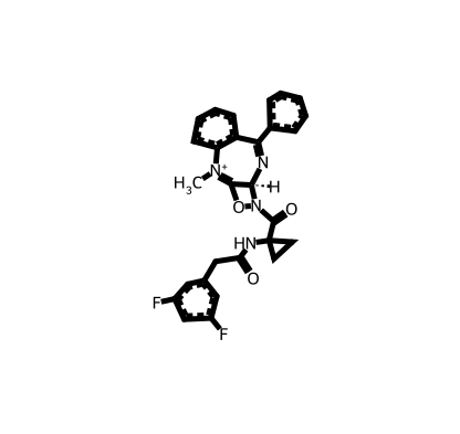 C[N+]1=C2ON(C(=O)C3(NC(=O)Cc4cc(F)cc(F)c4)CC3)[C@@H]2N=C(c2ccccc2)c2ccccc21